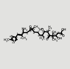 C/C(=C\c1csc(C)n1)C(N)CC1OC1(C)CCCC(C)C(O)C(C)C(=O)C(C)(C)C(O)CC(=O)O